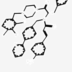 Cc1ccc(CN2CCN(C(=O)[C@H](Cc3ccccc3)N(Cc3ccc(-c4ccccn4)cc3)C(=O)/C=C/c3ccc(C(F)(F)F)cc3)CC2)c(F)c1F